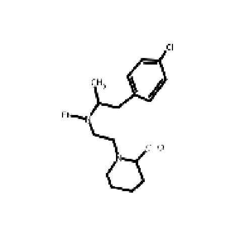 CCN(CCN1CCCCC1C=O)C(C)Cc1ccc(Cl)cc1